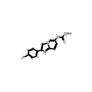 COC(=O)Oc1ccc2nc(-c3ccc(F)cc3)cn2c1